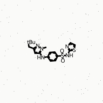 Cn1nc(CC(C)(C)C)cc1Nc1ccc(S(=O)(=O)Nc2nccs2)cc1